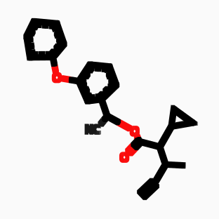 C#CC(C)C(C(=O)OC(C#N)c1cccc(Oc2ccccc2)c1)C1CC1